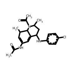 CC(=O)NC1=CC(C)C2C(=C1)C(Nc1ccc(Cl)cc1)CC(C)N2C(C)=O